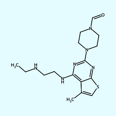 CCNCCNc1nc(N2CCN(C=O)CC2)nc2scc(C)c12